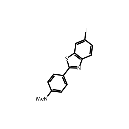 CNc1ccc(-c2nc3ccc(I)cc3s2)cc1